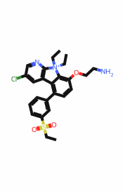 CC[N+]1(CC)c2ncc(Cl)cc2-c2c(-c3cccc(S(=O)(=O)CC)c3)ccc(OCCN)c21